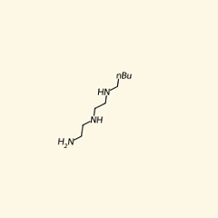 [CH2]CCCCNCCNCCN